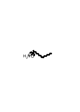 CCCCCC/C=C\CCCCCC(C)C(CC)(CC)C(=O)ON